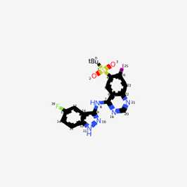 CC(C)(C)S(=O)(=O)c1cc2c(Nc3n[nH]c4ccc(F)cc34)ncnc2cc1I